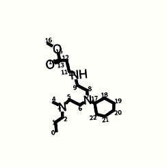 CCCN(C)CCN(CCNCCC(=O)OC)C1CCCCC1